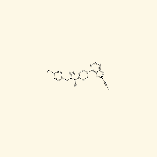 CC#Cc1cc2ncnc(N3CCN(C(=O)[C@H](N)Cc4ccc(Cl)cc4)CC3)c2s1